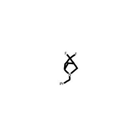 CC(C)CN1CC2CC1CC2(F)F